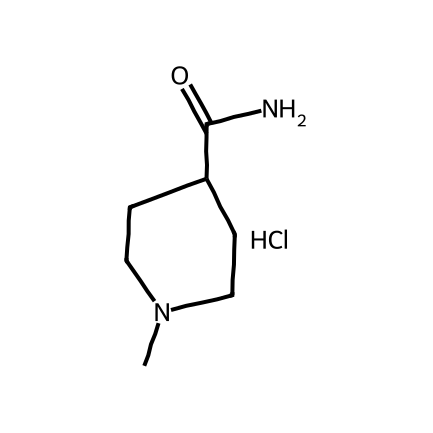 CN1CCC(C(N)=O)CC1.Cl